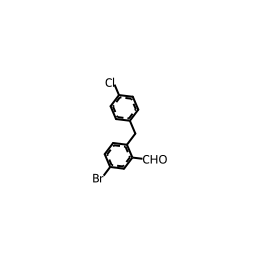 O=Cc1cc(Br)ccc1Cc1ccc(Cl)cc1